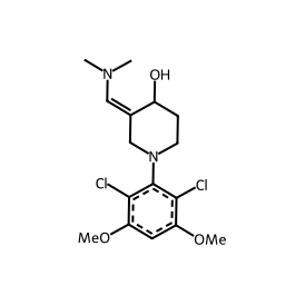 COc1cc(OC)c(Cl)c(N2CCC(O)/C(=C\N(C)C)C2)c1Cl